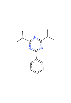 CC(C)c1nc(-c2ccccc2)nc(C(C)C)n1